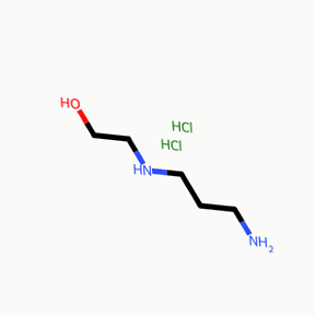 Cl.Cl.NCCCNCCO